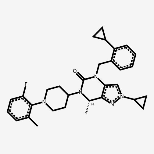 Cc1cccc(F)c1N1CCC(N2C(=O)N(Cc3ccccc3C3CC3)c3cn(C4CC4)nc3[C@@H]2C)CC1